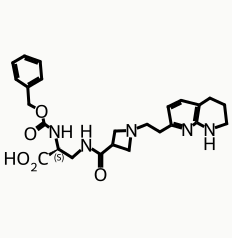 O=C(N[C@@H](CNC(=O)C1CN(CCc2ccc3c(n2)NCCC3)C1)C(=O)O)OCc1ccccc1